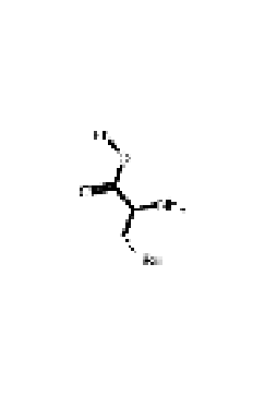 CCOC(=O)[C@@H](N)C[C@@H](C)CC